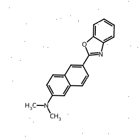 CN(C)c1ccc2cc(-c3nc4ccccc4o3)ccc2c1